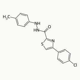 Cc1ccc(NNC(=O)c2nc(-c3ccc(Cl)cc3)cs2)cc1